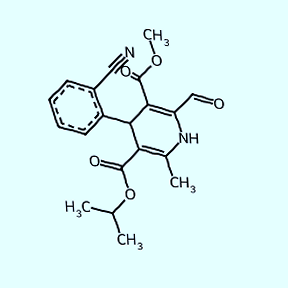 COC(=O)C1=C(C=O)NC(C)=C(C(=O)OC(C)C)C1c1ccccc1C#N